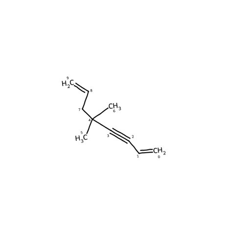 C=CC#CC(C)(C)CC=C